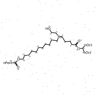 CCCCCCCCC(CCCCCCCC)OC(=O)CCCCN(CCO)CCCCCCCCCCCOC(=O)CCCCC